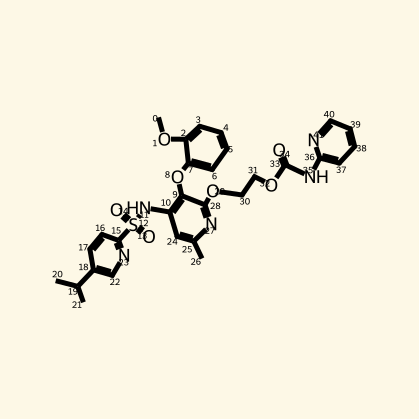 COc1ccccc1Oc1c(NS(=O)(=O)c2ccc(C(C)C)cn2)cc(C)nc1OCCOC(=O)Nc1ccccn1